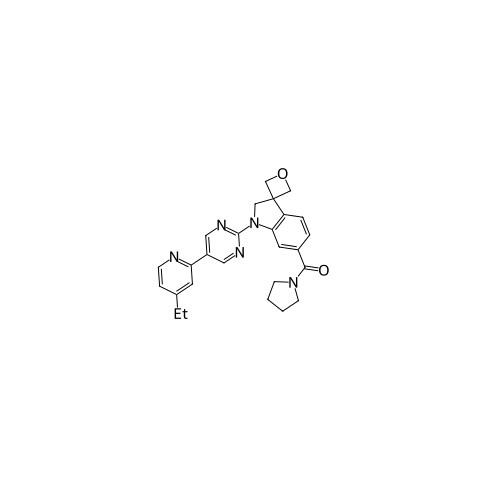 CCc1ccnc(-c2cnc(N3CC4(COC4)c4ccc(C(=O)N5CCCC5)cc43)nc2)c1